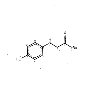 CC(C)(C)C(=O)CNc1ccc(O)cc1